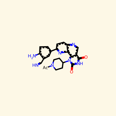 CC(=O)N1CCC(n2c(=O)[nH]c(=O)c3cnc4ccc(-c5ccc(N)c(C=N)c5)nc4c32)CC1